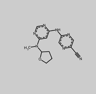 CN(c1cc(Nc2cnc(C#N)cn2)ncn1)C1CCCO1